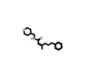 CC(=CC(=O)NCC1CCOCC1)CCCc1ccccc1